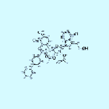 CC(=O)O[C@H]1[C@@H](OC(C)=O)[C@H](n2cc(CCO)c3c(Cl)ncnc32)O[C@@H]1[C@H](OC(=O)c1ccc(-c2ccccc2)cc1)c1ccc(Cl)c(Cl)c1